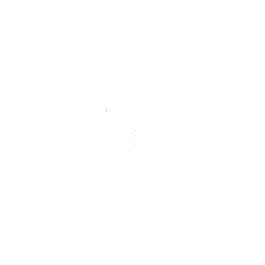 SC=CC1CC1